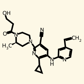 C=Cc1ccnc(Nc2cc(C#N)c(N3CCN(C(=O)CCO)[C@H](C)C3)nc2C2CC2)c1